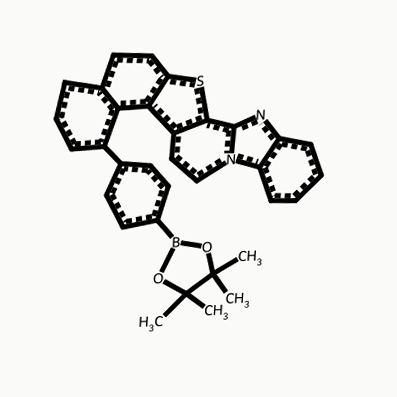 CC1(C)OB(c2ccc(-c3cccc4ccc5sc6c(ccn7c8ccccc8nc67)c5c34)cc2)OC1(C)C